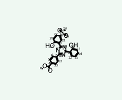 COC(=O)c1ccc(-c2nc(-c3ccccc3O)nc(-c3cc(S(C)(=O)=O)ccc3O)n2)cc1